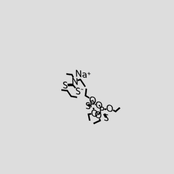 CCCC.CCN(CC)C(=S)[S-].CCOP(=S)(OCC)OP(=S)(OCC)OCC.[Na+]